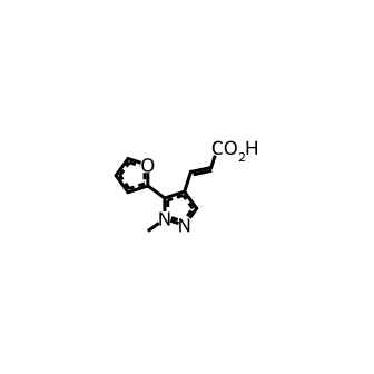 Cn1ncc(/C=C/C(=O)O)c1-c1ccco1